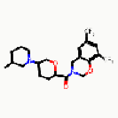 CC1CCCN(C2CCC(C(=O)N3COc4c(cc(C(F)(F)F)cc4C(F)(F)F)C3)OC2)C1